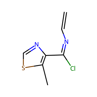 C=C/N=C(/Cl)c1ncsc1C